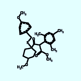 COC(=O)C(C(=O)C1(SCc2ccc(OC)cc2)CCC(OC)CC1)c1c(C)cc(C)cc1C